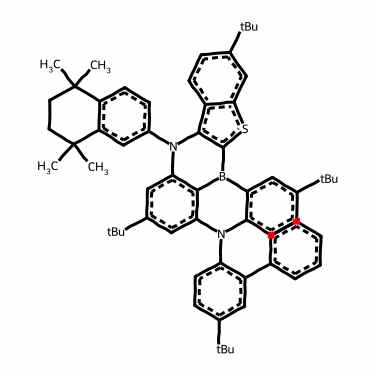 CC(C)(C)c1ccc2c(c1)B1c3sc4cc(C(C)(C)C)ccc4c3N(c3ccc4c(c3)C(C)(C)CCC4(C)C)c3cc(C(C)(C)C)cc(c31)N2c1ccc(C(C)(C)C)cc1-c1ccccc1